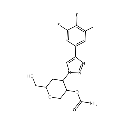 NC(=O)OC1COC(CO)CC1n1cc(-c2cc(F)c(F)c(F)c2)nn1